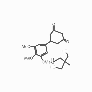 CC(CO)(CO)CO.COc1cc(C2CC(=O)CC(=O)C2)cc(OC)c1OC